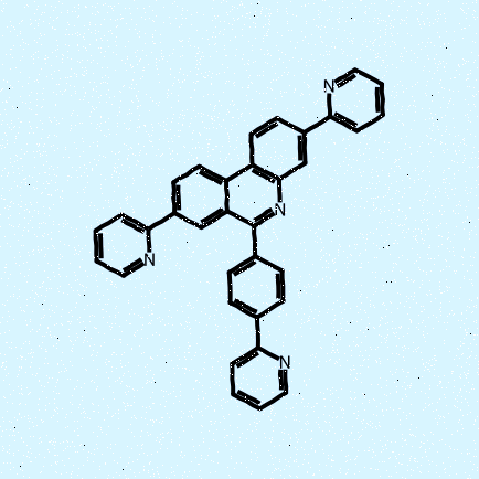 c1ccc(-c2ccc(-c3nc4cc(-c5ccccn5)ccc4c4ccc(-c5ccccn5)cc34)cc2)nc1